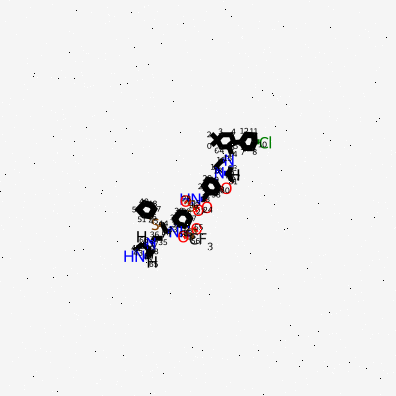 CC1(C)CCC(c2ccc(Cl)cc2)=C(CN2CCN3c4ccc(C(=O)NS(=O)(=O)c5ccc(N[C@H](CCN6C[C@@H]7C[C@H]6CN7)CSc6ccccc6)c(S(=O)(=O)C(F)(F)F)c5)cc4OC[C@@H]3C2)C1